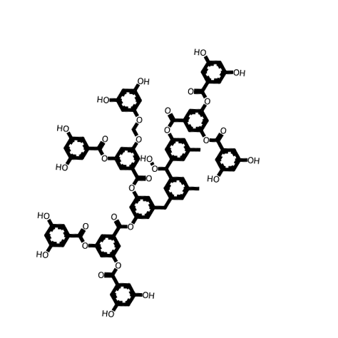 Cc1cc(Cc2cc(OC(=O)c3cc(OCOc4cc(O)cc(O)c4)cc(OC(=O)c4cc(O)cc(O)c4)c3)cc(OC(=O)c3cc(OC(=O)c4cc(O)cc(O)c4)cc(OC(=O)c4cc(O)cc(O)c4)c3)c2)cc(C(OO)c2cc(C)cc(OC(=O)c3cc(OC(=O)c4cc(O)cc(O)c4)cc(OC(=O)c4cc(O)cc(O)c4)c3)c2)c1